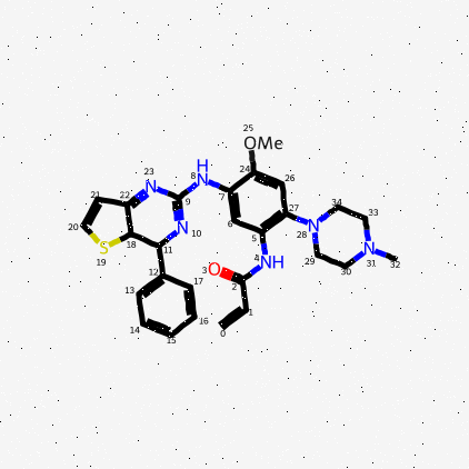 C=CC(=O)Nc1cc(NC2=NC(c3ccccc3)C3SC=CC3=N2)c(OC)cc1N1CCN(C)CC1